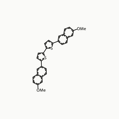 COc1ccc2cc(-c3ccc(-c4ccc(-c5ccc6cc(OC)ccc6c5)s4)s3)ccc2c1